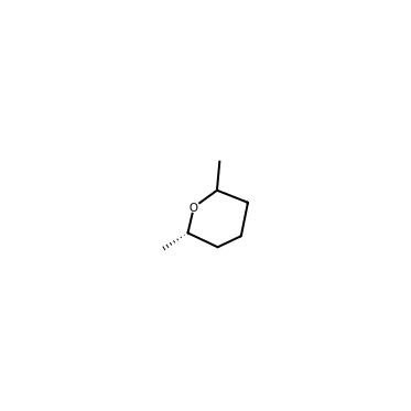 CC1CCC[C@H](C)O1